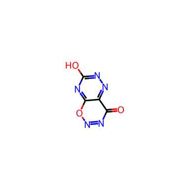 O=c1nnoc2nc(O)nnc12